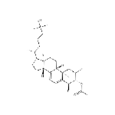 CC(=O)O[C@H]1C(F)C[C@@]2(C)C(=CC=C3[C@@H]4CC[C@H]([C@H](C)CCCC(C)(C)O)[C@@]4(C)CC[C@@H]32)C1F